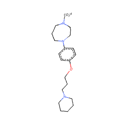 O=C(O)N1CCCN(c2ccc(OCCCN3CCCCC3)cc2)CC1